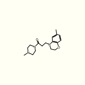 Cc1ccc2c(c1)N(CCC(=O)N1CCN(C)CC1)CCO2